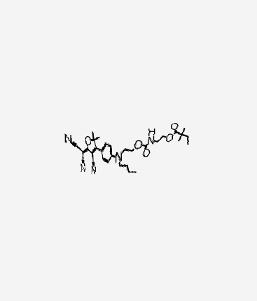 CCCCN(CCOC(=O)NCCOC(=O)C(C)(C)CC)c1ccc(C2=C(C#N)C(=C(C#N)C#N)OC2(C)C)cc1